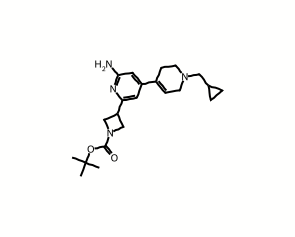 CC(C)(C)OC(=O)N1CC(c2cc(C3=CCN(CC4CC4)CC3)cc(N)n2)C1